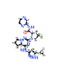 O=C(Nc1cnccn1)C1C[C@@H](F)CN1c1nc(Nc2cc(C3CC3)[nH]n2)c2cccn2n1